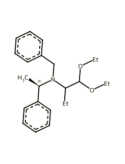 CCOC(OCC)C(CC)N(Cc1ccccc1)[C@H](C)c1ccccc1